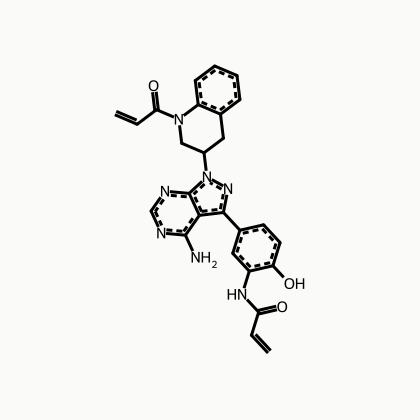 C=CC(=O)Nc1cc(-c2nn(C3Cc4ccccc4N(C(=O)C=C)C3)c3ncnc(N)c23)ccc1O